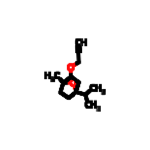 C#CCOC1CC2(C(C)C)CCC1(C)O2